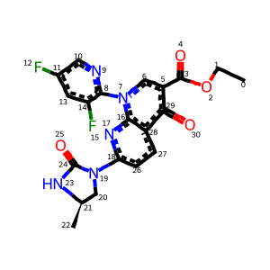 CCOC(=O)c1cn(-c2ncc(F)cc2F)c2nc(N3C[C@@H](C)NC3=O)ccc2c1=O